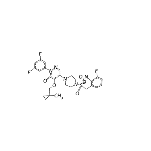 CC1(COc2c(N3CCN(S(=O)(=O)Cc4cccc(F)c4[N+](=O)[O-])CC3)cnn(-c3cc(F)cc(F)c3)c2=O)CC1